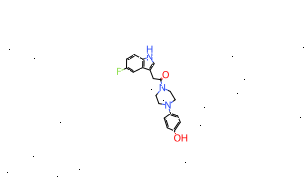 O=C(Cc1c[nH]c2ccc(F)cc12)N1CCN(c2ccc(O)cc2)CC1